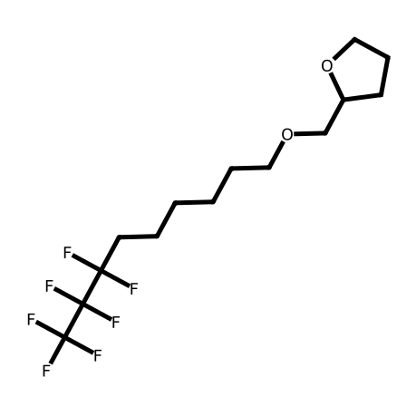 FC(F)(F)C(F)(F)C(F)(F)CCCCCCOCC1CCCO1